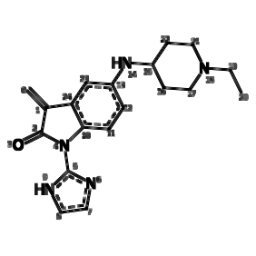 C=C1C(=O)N(c2ncc[nH]2)c2ccc(NC3CCN(CC)CC3)cc21